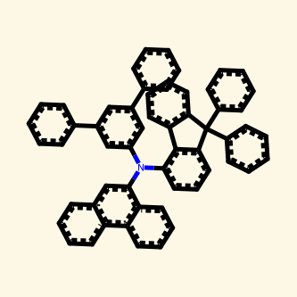 c1ccc(-c2cc(-c3ccccc3)cc(N(c3cccc4c3-c3ccccc3C4(c3ccccc3)c3ccccc3)c3cc4ccccc4c4ccccc34)c2)cc1